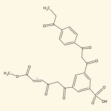 CCC(=O)c1ccc(C(=O)CC(=O)c2cc(C(=O)CC(=O)/C=C/C(=O)OC)cc(S(=O)(=O)O)c2)cc1